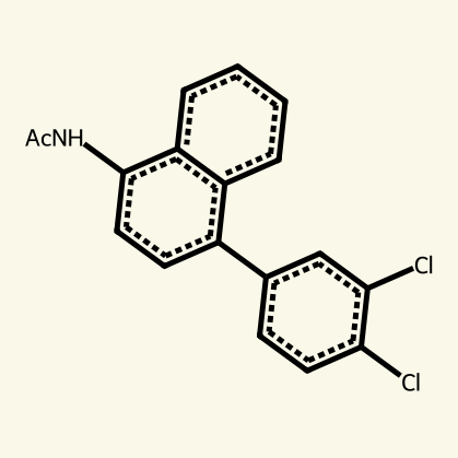 CC(=O)Nc1ccc(-c2ccc(Cl)c(Cl)c2)c2ccccc12